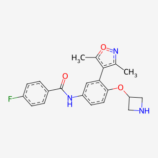 Cc1noc(C)c1-c1cc(NC(=O)c2ccc(F)cc2)ccc1OC1CNC1